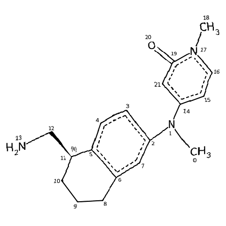 CN(c1ccc2c(c1)CCC[C@H]2CN)c1ccn(C)c(=O)c1